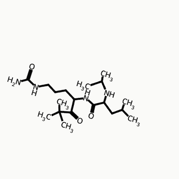 CC(C)CC(NC(C)C)C(=O)NC(CCCNC(N)=O)C(=O)C(C)(C)C